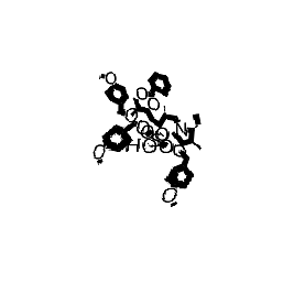 CC[C@@H]1[C@@H](C)[C@H](OCc2ccc(OC)cc2)CN1C[C@@H](C)[C@@H](OS(=O)(=O)O)[C@H](OCc1ccc(OC)cc1)[C@@H]1OC(c2ccccc2)OC[C@@H]1OCc1ccc(OC)cc1